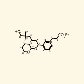 CCOC(=O)CCc1cccc(C(CCCC(C)(C)CO)OC2CCCCO2)c1